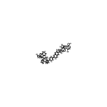 COC(=O)NC(C(=O)N1CCC[C@H]1c1ncc(-c2ccc3cc(-c4ccc(-c5cnc([C@@H]6SCCN6C(=O)[C@H](NC(=O)OC)c6ccccc6)[nH]5)cc4)ccc3c2)[nH]1)C(C)C